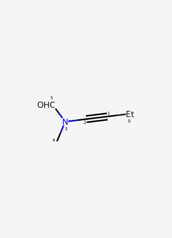 [CH2]CC#CN(C)C=O